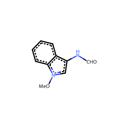 COn1cc(NC=O)c2ccccc21